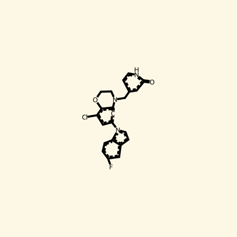 O=c1cc(CN2CCOc3c(Cl)cc(-n4ccc5cc(F)ccc54)cc32)cc[nH]1